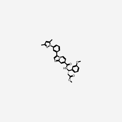 COC(=O)C[C@H](NC(=O)c1ccn2c(-c3cccc(-n4nc(C)cc4C)c3)cnc2c1)c1cccc(OC)c1